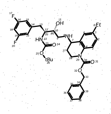 CCc1ccc2c(c1)C(NC[C@@H](O)[C@H](Cc1cc(F)cc(F)c1)NC(=O)OC(C)(C)C)CCN2C(=O)OCc1ccccc1